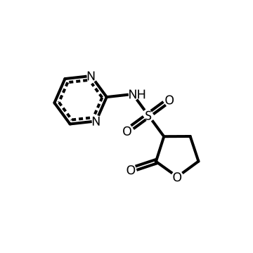 O=C1OCCC1S(=O)(=O)Nc1ncccn1